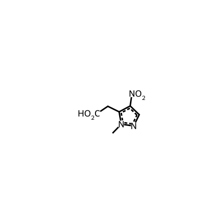 Cn1ncc([N+](=O)[O-])c1CC(=O)O